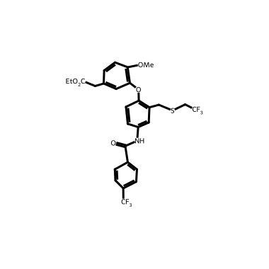 CCOC(=O)Cc1ccc(OC)c(Oc2ccc(NC(=O)c3ccc(C(F)(F)F)cc3)cc2CSCC(F)(F)F)c1